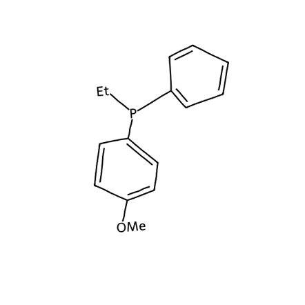 CCP(c1ccccc1)c1ccc(OC)cc1